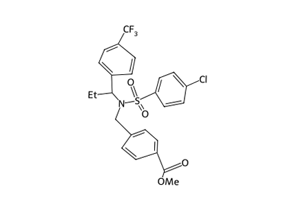 CCC(c1ccc(C(F)(F)F)cc1)N(Cc1ccc(C(=O)OC)cc1)S(=O)(=O)c1ccc(Cl)cc1